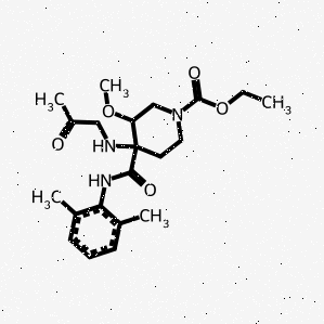 CCOC(=O)N1CCC(NCC(C)=O)(C(=O)Nc2c(C)cccc2C)C(OC)C1